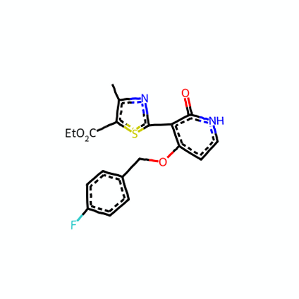 CCOC(=O)c1sc(-c2c(OCc3ccc(F)cc3)cc[nH]c2=O)nc1C